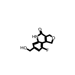 O=c1[nH]c2cc(CO)cc(F)c2c2c1COC2